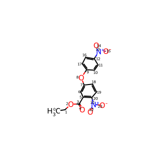 CCOC(=O)c1cc(Oc2ccc([N+](=O)[O-])cc2)ccc1[N+](=O)[O-]